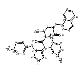 CC[C@H](C)[C@@H](CN(Cc1cccc2ccccc12)C(=S)Nc1ccc(Cl)cc1)NC(=O)Cc1cncn1Cc1ccc(C#N)cc1